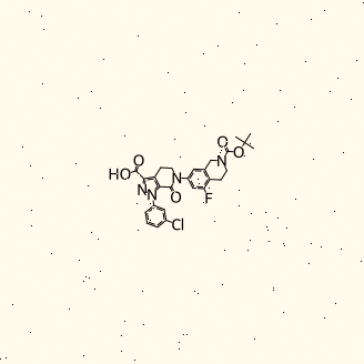 CC(C)(C)OC(=O)N1CCc2c(F)cc(N3CCc4c(C(=O)O)nn(-c5cccc(Cl)c5)c4C3=O)cc2C1